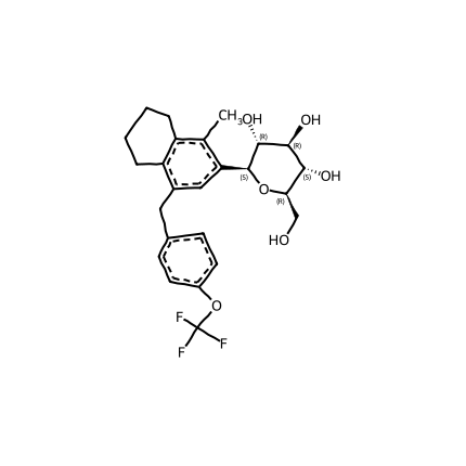 Cc1c([C@@H]2O[C@H](CO)[C@@H](O)[C@H](O)[C@H]2O)cc(Cc2ccc(OC(F)(F)F)cc2)c2c1CCCC2